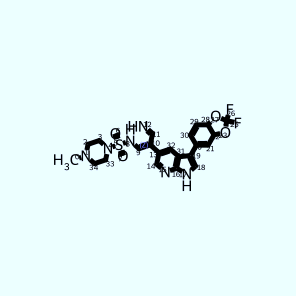 CN1CCN(S(=O)(=O)N/C=C(\C=N)c2cnc3[nH]cc(C4=CC5OC(F)(F)OC5C=C4)c3c2)CC1